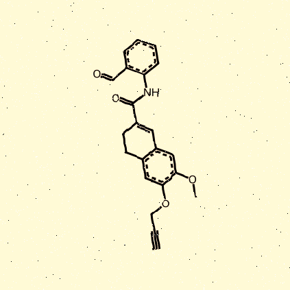 C#CCOc1cc2c(cc1OC)C=C(C(=O)Nc1ccccc1C=O)CC2